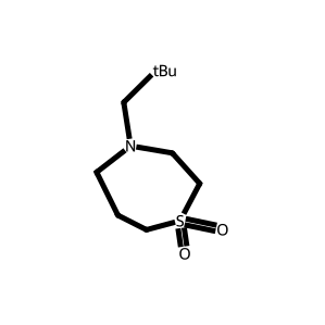 CC(C)(C)CN1CCCS(=O)(=O)CC1